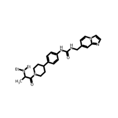 CCN(CC)C(C)C(=O)N1CCC(c2ccc(NC(=O)NCc3ccn4ccnc4c3)cc2)CC1